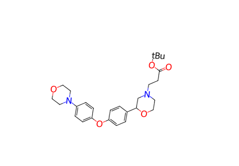 CC(C)(C)OC(=O)CCN1CCOC(c2ccc(Oc3ccc(N4CCOCC4)cc3)cc2)C1